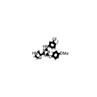 COc1ccc(Oc2nc(Nc3cccc(C(F)(F)F)c3)nc(C3CNCCO3)n2)cc1